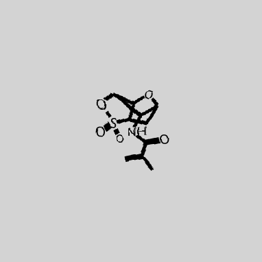 C=C(C)C(=O)NC1C2CC3C(O2)C1OS3(=O)=O